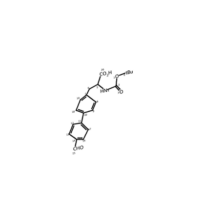 CC(C)(C)OC(=O)NC(Cc1ccc(-c2ccc(C=O)cc2)cc1)C(=O)O